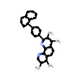 Cc1cnc2c(ccc3c(C)c(C)c(-c4ccc(-c5cccc6ccccc56)cc4)nc32)c1C